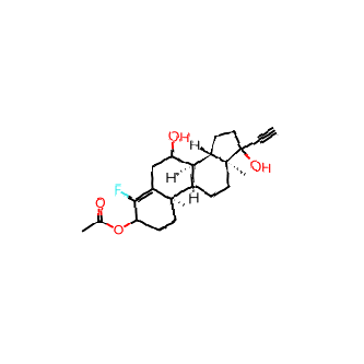 C#CC1(O)CC[C@H]2[C@@H]3C(O)CC4=C(F)C(OC(C)=O)CC[C@]4(C)[C@@H]3CC[C@@]21C